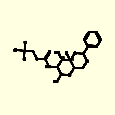 O=C(NC1C(O)OC2COC(c3ccccc3)O[C@H]2[C@@H]1O)OCC(Cl)(Cl)Cl